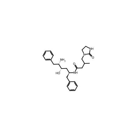 CC(CC(=O)N[C@@H](Cc1ccccc1)C[C@H](O)[C@@H](N)Cc1ccccc1)CN1CCNC1=O